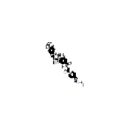 C/N=C/C1CCN(C(=O)CNC(=O)c2ccc3c(c2)nc(Nc2nc4ccc(OC(F)(F)F)cc4s2)n3C)CC1